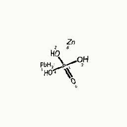 O=P(O)(O)O.[PbH2].[Zn]